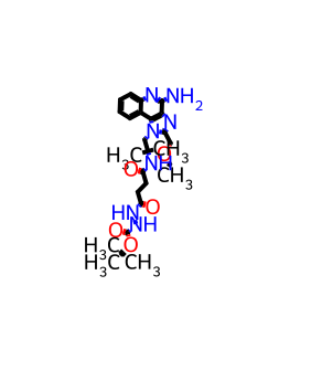 CCOCc1nc2c(N)nc3ccccc3c2n1CC(C)(C)NC(=O)CCC(=O)NNC(=O)OC(C)(C)C